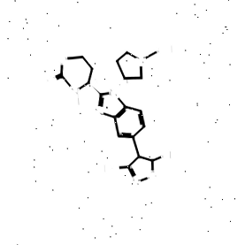 CC1=NOC(C)C1c1ccc2c(c1)nc([C@@H]1CCOC(=O)N1)n2[C@@H]1CCN(C)C1